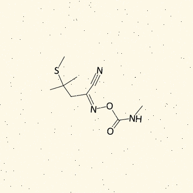 CNC(=O)ON=C(C#N)CC(C)(C)SC